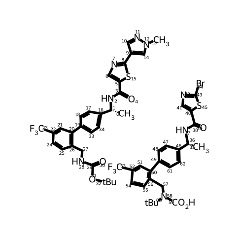 C[C@@H](NC(=O)c1cnc(-c2cnn(C)c2)s1)c1ccc(-c2cc(C(F)(F)F)ccc2CNC(=O)OC(C)(C)C)cc1.C[C@@H](NC(=O)c1cnc(Br)s1)c1ccc(-c2cc(C(F)(F)F)ccc2CN(C(=O)O)C(C)(C)C)cc1